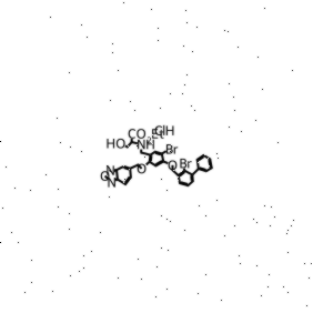 CCOC(=O)C(CO)NCc1cc(Br)c(OCc2cccc(-c3ccccc3)c2Br)cc1OCc1ccc2nonc2c1.Cl